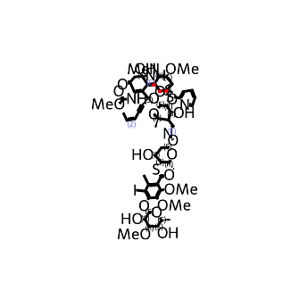 C/C=C\C#C[C@H](O[C@@H]1O[C@H](C)C(/C=N/O[C@H]2C[C@H](O)[C@H](SC(=O)c3c(C)c(I)c(O[C@@H]4O[C@@H](C)[C@H](O)[C@@H](OC)[C@H]4O)c(OC)c3OC)[C@@H](C)O2)[C@H](O)[C@H]1O[C@H]1C[C@H](OC)[C@@H](NC)CO1)C1=C(NC(=O)OC)C(=O)C[C@](N)(O)/C1=C/CSSc1ccccn1